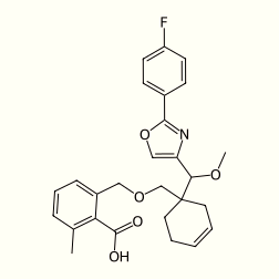 COC(c1coc(-c2ccc(F)cc2)n1)C1(COCc2cccc(C)c2C(=O)O)CC=CCC1